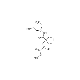 CCC[C@@H](CC1(C(=O)N[C@@H](CCO)CC(=O)O)CCCC1)C(=O)OC(C)(C)C